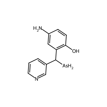 Nc1ccc(O)c(C([AsH2])c2cccnc2)c1